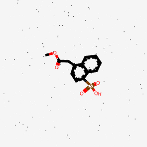 COC(=O)Cc1ccc(S(=O)(=O)O)c2ccccc12